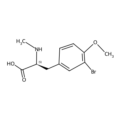 CN[C@@H](Cc1ccc(OC)c(Br)c1)C(=O)O